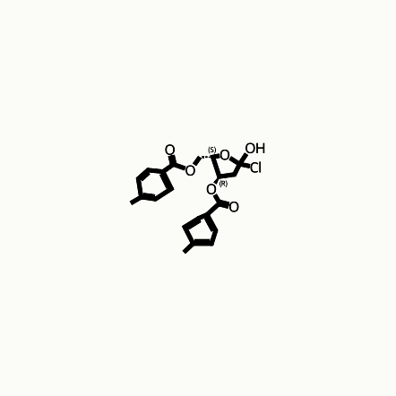 Cc1ccc(C(=O)OC[C@@H]2OC(O)(Cl)C[C@H]2OC(=O)c2ccc(C)cc2)cc1